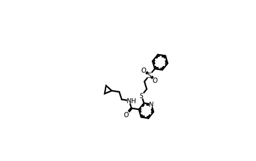 O=C(NCCC1CC1)c1cccnc1SCCS(=O)(=O)c1ccccc1